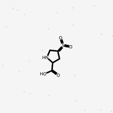 O=C(O)C1CC(=S(=O)=O)CN1